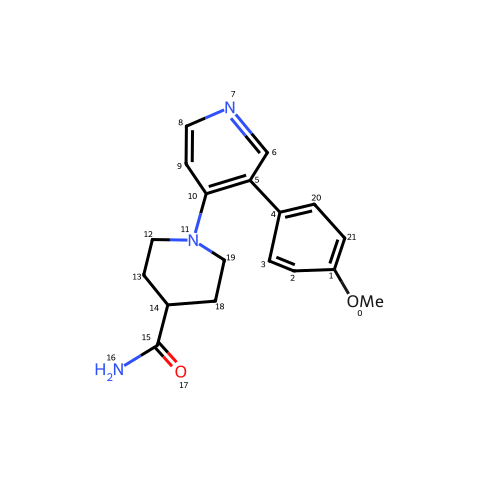 COc1ccc(-c2cnccc2N2CCC(C(N)=O)CC2)cc1